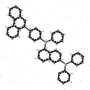 c1ccc(N(c2ccccc2)c2ccc3c(N(c4ccccc4)c4ccc(-c5cc6ccccc6c6ccccc56)cc4)cccc3c2)cc1